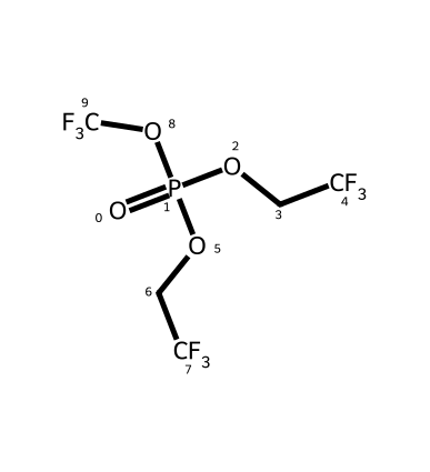 O=P(OCC(F)(F)F)(OCC(F)(F)F)OC(F)(F)F